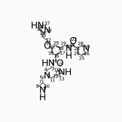 O=C(NCCN(CC1CNC1)CC1CNC1)c1cc(CNC(=O)c2cccnc2)cc(OCCc2c[nH]cn2)c1